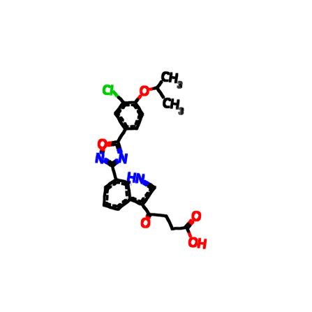 CC(C)Oc1ccc(-c2nc(-c3cccc4c(C(=O)CCC(=O)O)c[nH]c34)no2)cc1Cl